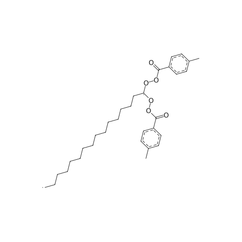 [CH2]CCCCCCCCCCCCCC[C](OOC(=O)c1ccc(C)cc1)OOC(=O)c1ccc(C)cc1